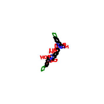 O=C(O)c1cc2cc(Cl)ccc2nc1NC(Cc1cccc(CC(Nc2nc3ccc(Cl)cc3cc2C(=O)O)C(=O)O)c1)C(=O)O